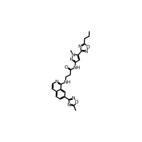 CCCc1nc(-c2cc(NC(=O)CCNc3nccc4ccc(-c5noc(C)n5)cc34)nn2C)no1